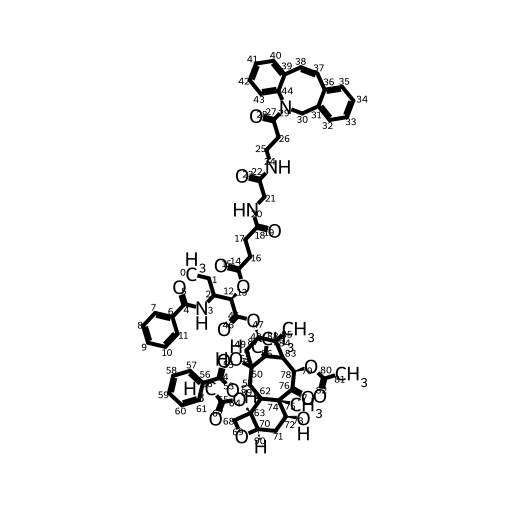 CCC(NC(=O)c1ccccc1)[C@@H](OC(=O)CCC(=O)NCC(=O)NCCC(=O)N1Cc2ccccc2/C=C\c2ccccc21)C(=O)O[C@H]1CC2(O)[C@@H](OC(=O)c3ccccc3)[C@@H]3[C@]4(OC(C)=O)CO[C@@H]4C[C@H](O)[C@@]3(C)C(=O)[C@H](OC(C)=O)C(C1C)C2(C)C